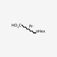 CCCCCC/C=C\CCCCCCCC(=O)O.[Pr]